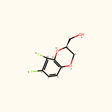 OC[C@H]1COc2ccc(F)c(F)c2O1